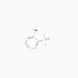 CP(C)(=O)c1c(N)cccc1C(F)(F)F